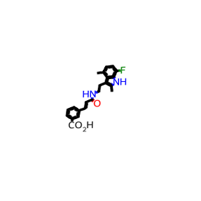 Cc1[nH]c2c(F)ccc(C)c2c1CCNC(=O)/C=C/c1cccc(C(=O)O)c1